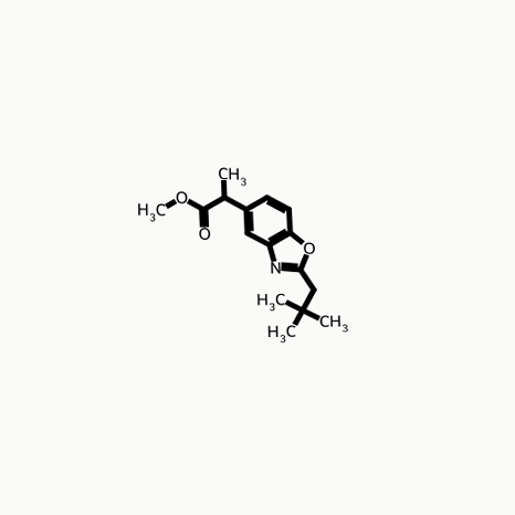 COC(=O)C(C)c1ccc2oc(CC(C)(C)C)nc2c1